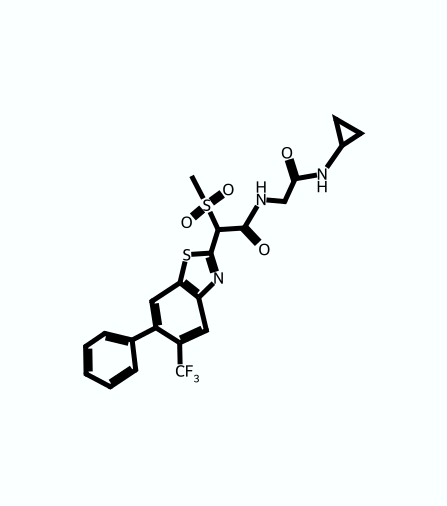 CS(=O)(=O)C(C(=O)NCC(=O)NC1CC1)c1nc2cc(C(F)(F)F)c(-c3ccccc3)cc2s1